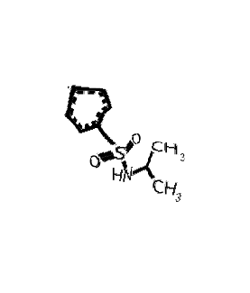 CC(C)NS(=O)(=O)c1cc[c]cc1